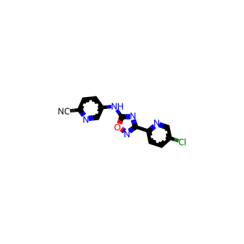 N#Cc1ccc(Nc2nc(-c3ccc(Cl)cn3)no2)cn1